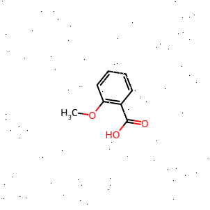 COc1ccc[c]c1C(=O)O